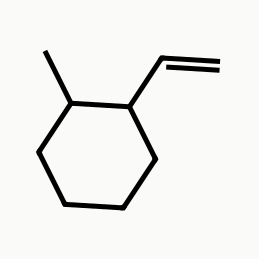 C=CC1CCCCC1C